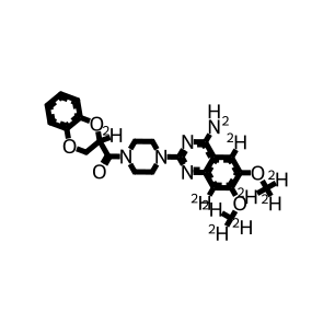 [2H]c1c(OC([2H])([2H])[2H])c(OC([2H])([2H])[2H])c([2H])c2c(N)nc(N3CCN(C(=O)C4([2H])COc5ccccc5O4)CC3)nc12